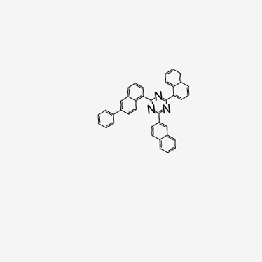 c1ccc(-c2ccc3c(-c4nc(-c5ccc6ccccc6c5)nc(-c5cccc6ccccc56)n4)cccc3c2)cc1